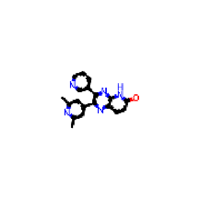 Cc1cc(-c2nc3ccc(=O)[nH]c3nc2-c2cccnc2)cc(C)n1